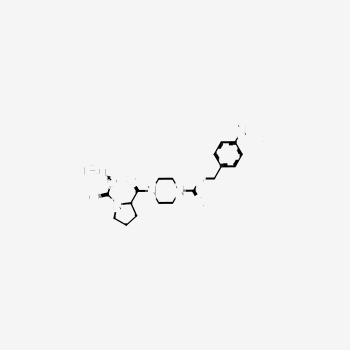 CC(C)(C)OC(=O)N1CCCC1C(=O)N1CCN(C(=S)SCc2ccc([N+](=O)[O-])cc2)CC1